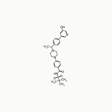 CC(c1ccc(-c2cncc(O)c2)cc1)N1CCN(c2ccc(C(=O)NS(=O)(=O)C(C)(C)C)cc2)CC1